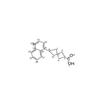 O=C(O)C1CC2(C1)CC(c1ccnc3ccccc13)C2